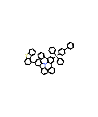 c1ccc(-c2ccc([Si](c3ccccc3)(c3ccccc3)c3cc(-c4ccccc4)c(-n4c5ccccc5c5cc(-c6cccc7sc8ccccc8c67)ccc54)c(-c4ccccc4)c3)cc2)cc1